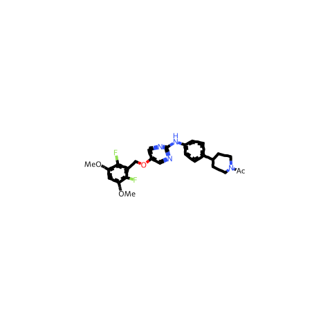 COc1cc(OC)c(F)c(COc2cnc(Nc3ccc(C4CCN(C(C)=O)CC4)cc3)nc2)c1F